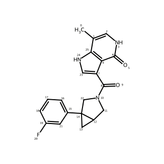 Cc1c[nH]c(=O)c2c(C(=O)N3CC4CC4(c4cccc(F)c4)C3)c[nH]c12